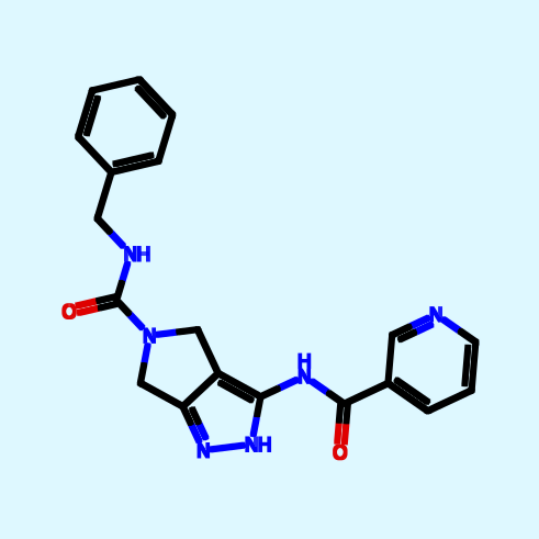 O=C(Nc1[nH]nc2c1CN(C(=O)NCc1ccccc1)C2)c1cccnc1